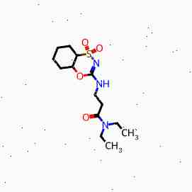 CCN(CC)C(=O)CCNC1=NS(=O)(=O)C2CCCCC2O1